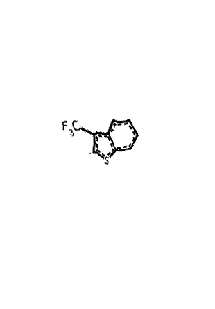 FC(F)(F)c1[c]sc2ccccc12